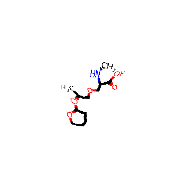 CNC(COCC(C)OC1CCCCO1)C(=O)O